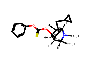 O=C(O)[C@@H]1[C@@H]2CC[C@@H]([C@@H](CC3CC3)[C@@H]2OC(=S)Oc2ccccc2)N1C(=O)O